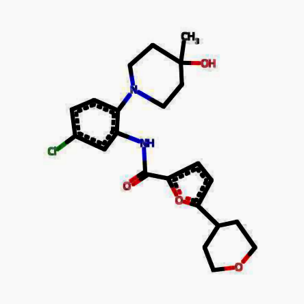 CC1(O)CCN(c2ccc(Cl)cc2NC(=O)c2ccc(C3CCOCC3)o2)CC1